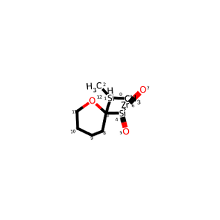 C[SiH](C)C1([Si](=O)[Zr]=[O])CCCCO1